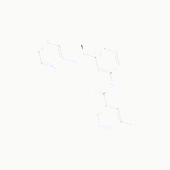 Cc1cncc(C(=O)Nc2cccc([C@H](C)Nc3cccc(Br)n3)c2)c1